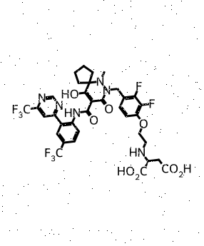 CN1N(Cc2ccc(OCCN[C@@H](CC(=O)O)C(=O)O)c(F)c2F)C(=O)C(C(=O)Nc2ccc(C(F)(F)F)cc2-c2cc(C(F)(F)F)ncn2)=C(O)C12CCCC2